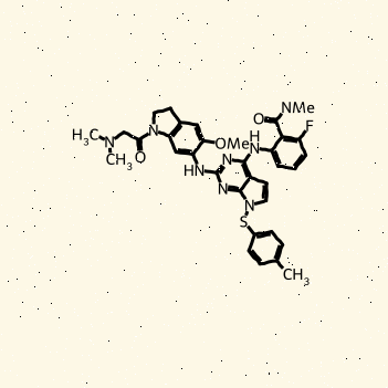 CNC(=O)c1c(F)cccc1Nc1nc(Nc2cc3c(cc2OC)CCN3C(=O)CN(C)C)nc2c1ccn2Sc1ccc(C)cc1